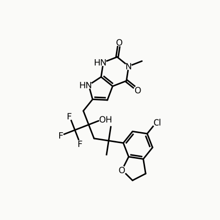 Cn1c(=O)[nH]c2[nH]c(CC(O)(CC(C)(C)c3cc(Cl)cc4c3OCC4)C(F)(F)F)cc2c1=O